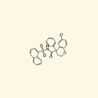 O=C(NS(=O)(=O)c1cccc2ccccc12)C1(c2ccccc2)CCOc2ccc(Cl)cc21